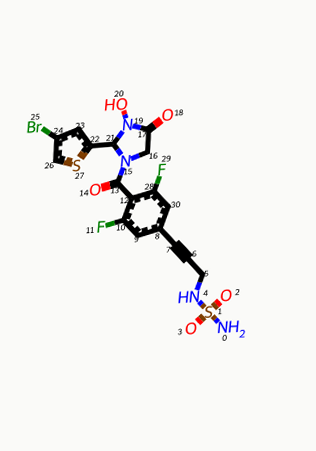 NS(=O)(=O)NCC#Cc1cc(F)c(C(=O)N2CC(=O)N(O)C2c2cc(Br)cs2)c(F)c1